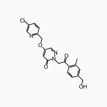 Cc1cc(CO)ccc1C(=O)Cn1ncc(OCc2ccc(Cl)cn2)cc1=O